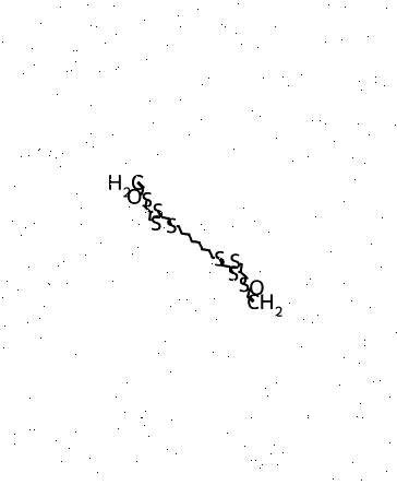 C=CC(=O)SCC1CSC(CSCCCCCCCCSCC2SCC(CSC(=O)C=C)S2)S1